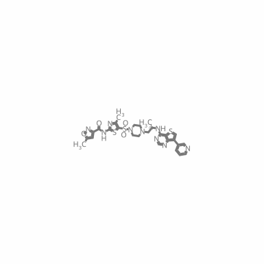 Cc1cc(C(=O)Nc2nc(C)c(S(=O)(=O)N3CCN(C[C@H](C)Nc4ncnc5c(-c6cccnc6)csc45)CC3)s2)no1